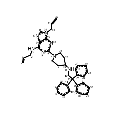 C=CCNc1nc(N2CCC(NCC(c3ccccc3)(c3ccccc3)c3ccccc3)CC2)nc2c1ncn2CC=C